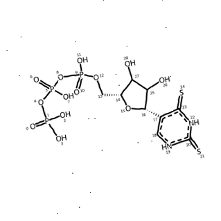 O=P(O)(O)OP(=O)(O)OP(=O)(O)OC[C@H]1O[C@@H](c2c[nH]c(=S)[nH]c2=S)C(O)C1O